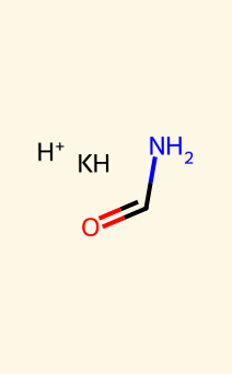 NC=O.[H+].[KH]